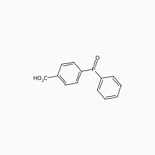 O=C(O)c1ccc([P](=O)c2ccccc2)cc1